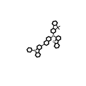 CC1(C)c2ccccc2-c2ccc(N(c3ccc4cc(-c5ccc6c(c5)c5ccccc5n6-c5ccccc5)ccc4c3)c3cccc4c3oc3ccccc34)cc21